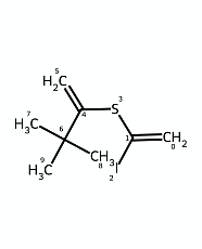 C=C(I)SC(=C)C(C)(C)C